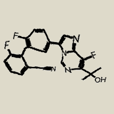 CC(C)(O)c1ncn2c(-c3ccc(F)c(-c4c(F)cccc4C#N)c3)cnc2c1F